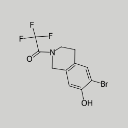 O=C(N1CCc2cc(Br)c(O)cc2C1)C(F)(F)F